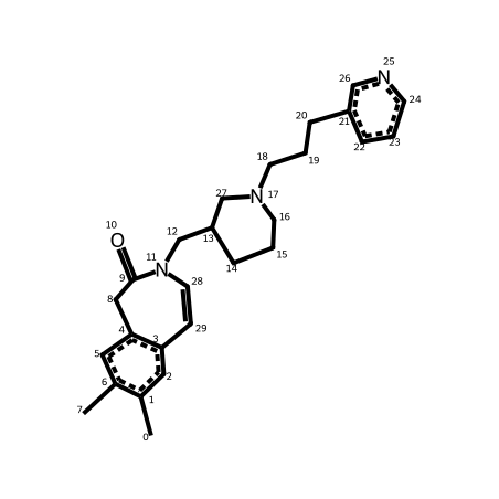 Cc1cc2c(cc1C)CC(=O)N(CC1CCCN(CCCc3cccnc3)C1)C=C2